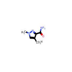 Cn1cc(C(=O)O)c(C(N)=O)n1